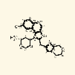 C[C@@H]1CC(n2c(Cc3cn4c(n3)COCC4)nc3cnc4ccc(Cl)cc4c32)CCO1